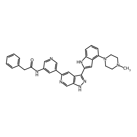 CN1CCN(c2cccc3[nH]c(-c4n[nH]c5cnc(-c6cncc(NC(=O)Cc7ccccc7)c6)cc45)cc23)CC1